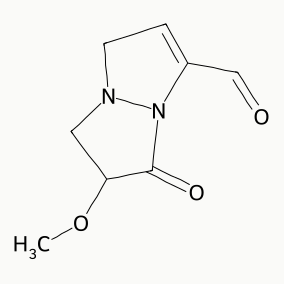 COC1CN2CC=C(C=O)N2C1=O